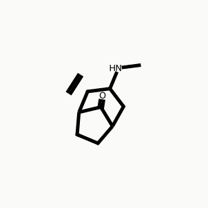 C=C.CNC1CC2CCC(C1)C2=O